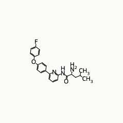 CC(C)C[C@H](N)C(=O)Nc1cccc(-c2ccc(Oc3ccc(F)cc3)cc2)n1